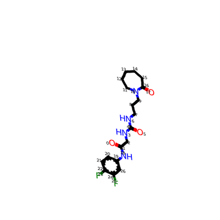 O=C(CNC(=O)NCCCN1CCCCCC1=O)Nc1ccc(F)c(F)c1